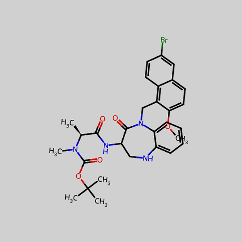 COc1ccc2cc(Br)ccc2c1CN1C(=O)C(NC(=O)[C@H](C)N(C)C(=O)OC(C)(C)C)CNc2ccccc21